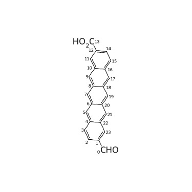 O=Cc1ccc2cc3cc4cc5cc(C(=O)O)ccc5cc4cc3cc2c1